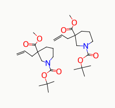 C=CCC1(C(=O)OC)CCCN(C(=O)OC(C)(C)C)C1.C=CCC1(C(=O)OC)CCCN(C(=O)OC(C)(C)C)C1